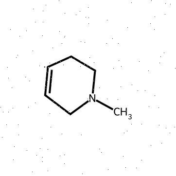 CN1CC=[C]CC1